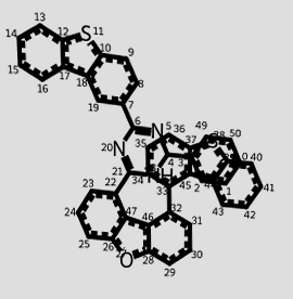 c1ccc(C2N=C(c3ccc4sc5ccccc5c4c3)N=C(c3cccc4oc5cccc(-c6cccc7sc8ccccc8c67)c5c34)N2)cc1